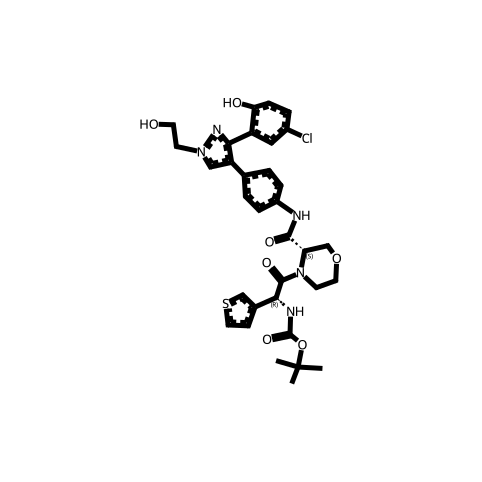 CC(C)(C)OC(=O)N[C@@H](C(=O)N1CCOC[C@H]1C(=O)Nc1ccc(-c2cn(CCO)nc2-c2cc(Cl)ccc2O)cc1)c1ccsc1